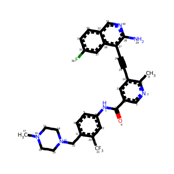 Cc1ncc(C(=O)Nc2ccc(CN3CCN(C)CC3)c(C(F)(F)F)c2)cc1C#Cc1c(N)ncc2ccc(F)cc12